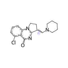 O=c1nc2n(c3cccc(Cl)c13)CC/C2=C\N1CCCCC1